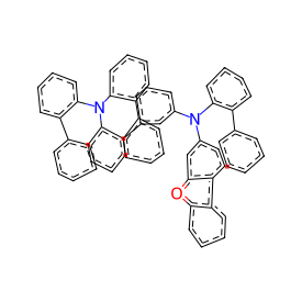 c1ccc(-c2ccccc2N(c2cccc(-c3ccccc3N(c3ccccc3-c3ccccc3)c3ccccc3-c3ccccc3)c2)c2ccc3c(c2)oc2ccccc23)cc1